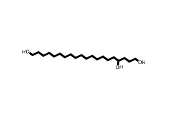 OCCCCCCCCCCCCCCCCC(O)CCCO